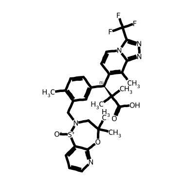 Cc1ccc([C@@H](c2ccn3c(C(F)(F)F)nnc3c2C)C(C)(C)C(=O)O)cc1CN1CC(C)(C)Oc2ncccc2[S+]1[O-]